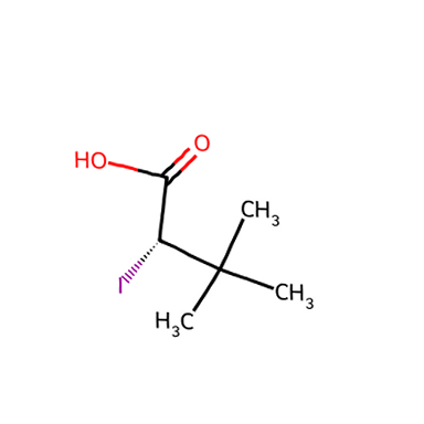 CC(C)(C)[C@H](I)C(=O)O